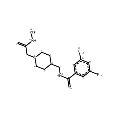 C=C(CN1CCC(CNC(=C)c2cc(F)cc(C(F)(F)F)c2)CC1)NCCC